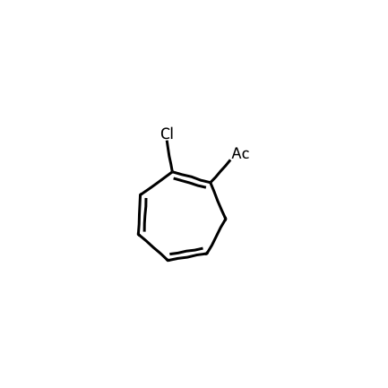 CC(=O)C1=C(Cl)C=CC=CC1